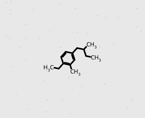 CCc1ccc(CC(C)CC)cc1C